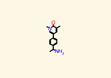 Cc1cc(-c2ccc(C(C)N)cc2)cn(C)c1=O